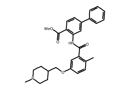 COC(=O)c1ccc(-c2ccccc2)cc1NC(=O)c1cc(OCC2CCN(C)CC2)ccc1C